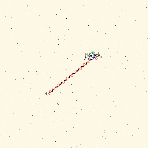 COCCOCCOCCOCCOCCOCCOCCOCCOCCOCCN1C(=O)C(C)(C)N(Cl)C1(C)C